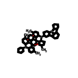 Cc1ccc2c(c1)C1(c3cc(C)ccc3N2c2ccccc2)c2ccccc2C2(c3cc(C)ccc3N(c3ccc4c(c3)c3cccc5c6ccccc6n4c53)c3ccc(C)cc32)c2ccccc21